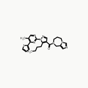 CCCCc1c(C(=O)N2CCCn3cncc3C2)cnn1-c1ncc(C)c(-c2cccs2)n1